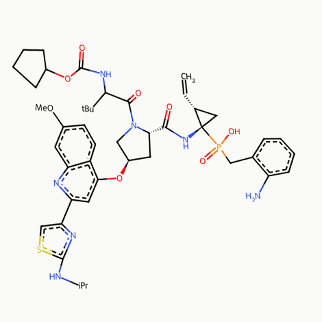 C=C[C@@H]1C[C@]1(NC(=O)[C@@H]1C[C@@H](Oc2cc(-c3csc(NC(C)C)n3)nc3cc(OC)ccc23)CN1C(=O)C(NC(=O)OC1CCCC1)C(C)(C)C)P(=O)(O)Cc1ccccc1N